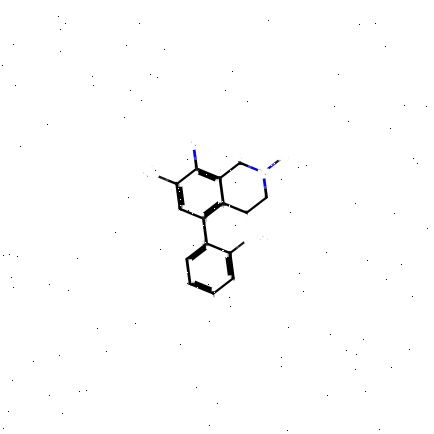 CCN1CCc2c(-c3ccccc3OC)cc(C#N)c(N)c2C1